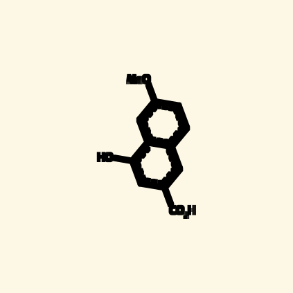 COc1ccc2cc(C(=O)O)cc(O)c2c1